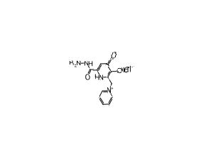 NNC(=O)c1cc(=O)c(O)c(C[n+]2ccccc2)[nH]1.[Cl-]